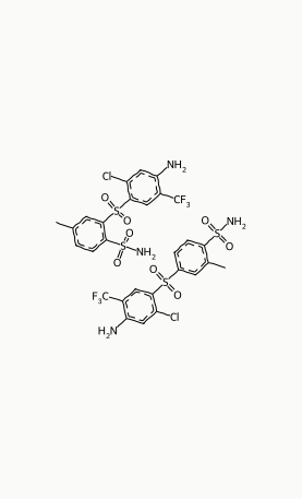 Cc1cc(S(=O)(=O)c2cc(C(F)(F)F)c(N)cc2Cl)ccc1S(N)(=O)=O.Cc1ccc(S(N)(=O)=O)c(S(=O)(=O)c2cc(C(F)(F)F)c(N)cc2Cl)c1